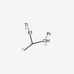 CCC(C)O.[Pr].[Ti]